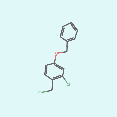 ClCc1ccc(OCc2ccccc2)cc1Cl